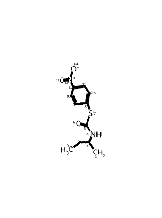 CCC(C)NC(=O)Sc1ccc([N+](=O)[O-])cc1